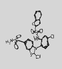 NS(=O)(=O)c1ccc2c(c1)SC(Cl)N2c1ccc(Cl)cc1NS(=O)(=O)c1cc2ccccc2o1